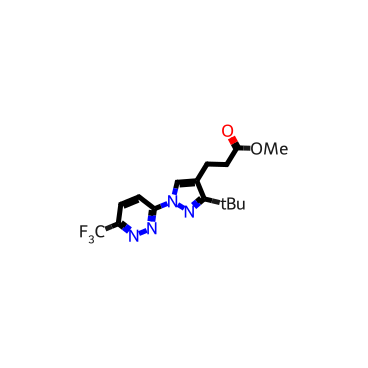 COC(=O)CCc1cn(-c2ccc(C(F)(F)F)nn2)nc1C(C)(C)C